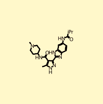 Cc1[nH]nc(-c2nc3ccc(NC(=O)C(C)C)cc3[nH]2)c1C(=O)NC1CCN(C)CC1